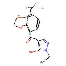 CCn1ncc(C(=O)c2ccc(C(F)(F)F)c3c2OCS3)c1O